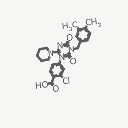 Cc1ccc(Cn2c(=O)nc(N3CCCCC3)n(-c3ccc(C(=O)O)c(Cl)c3)c2=O)cc1C